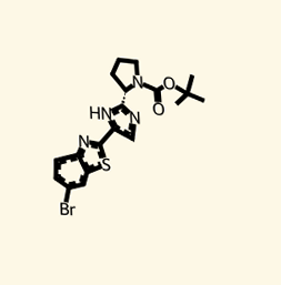 CC(C)(C)OC(=O)N1CCC[C@H]1c1ncc(-c2nc3ccc(Br)cc3s2)[nH]1